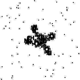 Cc1nccn1CCC1CCN(C(=O)CCc2ccc(Cl)cc2)CC1.O=C(CCc1ccccc1)N1CCC(CCCn2ccnc2)CC1